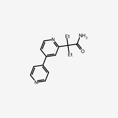 CCC(CC)(C(N)=O)c1cc(-c2ccncc2)ccn1